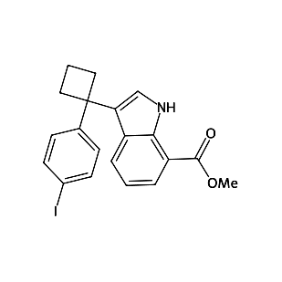 COC(=O)c1cccc2c(C3(c4ccc(I)cc4)CCC3)c[nH]c12